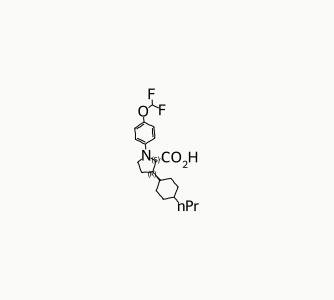 CCCC1CCC([C@H]2CCN(c3ccc(OC(F)F)cc3)[C@@H]2C(=O)O)CC1